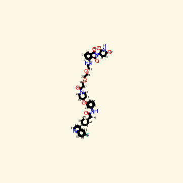 C[C@@H](C(=O)Nc1cccc(OC2CCN(C(=O)CCOCCOCCNc3cccc4c3C(=O)N(C3CCC(=O)NC3=O)C4=O)CC2)c1)[C@H]1CC[C@@H](c2ccnc3ccc(F)cc32)CC1